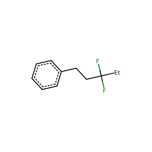 [CH2]CC(F)(F)CCc1ccccc1